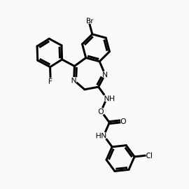 O=C(Nc1cccc(Cl)c1)ONC1=Nc2ccc(Br)cc2C(c2ccccc2F)=NC1